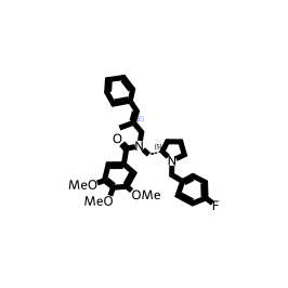 COc1cc(C(=O)N(C/C(C)=C/c2ccccc2)C[C@@H]2CCCN2Cc2ccc(F)cc2)cc(OC)c1OC